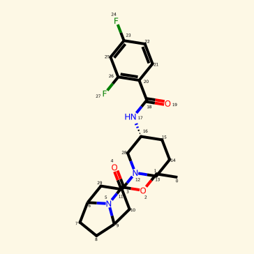 CCOC(=O)N1C2CCC1CC(N1CCC[C@@H](NC(=O)c3ccc(F)cc3F)C1)C2